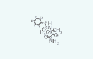 CC(C)(NC(=O)Cc1ccccc1)C(=O)C(N)=O